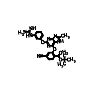 Cc1nc2nc(Oc3cccc(NC(=N)N)c3)nc(Oc3cc(C#N)ccc3C(=O)OC(C)(C)C)c2[nH]1